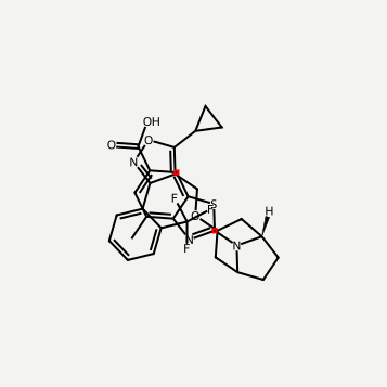 Cc1cc(C(=O)O)cc2sc(N3C4CC[C@H]3CC(OCc3c(-c5ccccc5C(F)(F)F)noc3C3CC3)C4)nc12